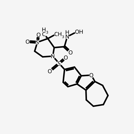 CC1(C)C(C(=O)NO)N(S(=O)(=O)c2ccc3c4c(oc3c2)CCCCC4)CCS1(=O)=O